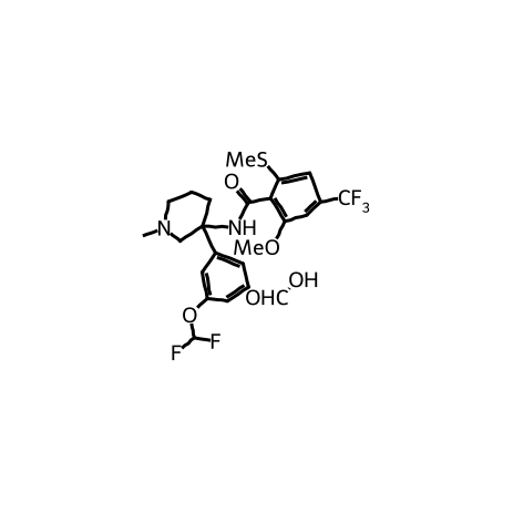 COc1cc(C(F)(F)F)cc(SC)c1C(=O)NC1(c2cccc(OC(F)F)c2)CCCN(C)C1.O=CO